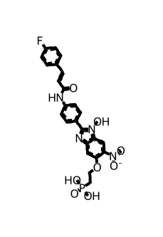 O=C(/C=C/c1ccc(F)cc1)Nc1ccc(-c2nc3cc(OCCP(=O)(O)O)c([N+](=O)[O-])cc3n2O)cc1